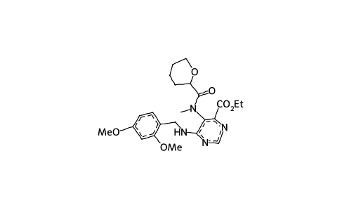 CCOC(=O)c1ncnc(NCc2ccc(OC)cc2OC)c1N(C)C(=O)C1CCCCO1